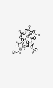 CC(=O)OC[C@H]1O[C@H](Oc2ccc(CBr)cc2Cl)[C@H](OC(C)=O)[C@@H](OC(C)=O)[C@H]1OC(C)=O